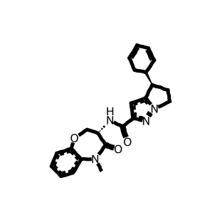 CN1C(=O)[C@@H](NC(=O)c2cc3n(n2)CC[C@@H]3C2C=CC=CC2)COc2ccccc21